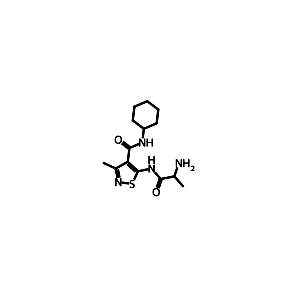 Cc1nsc(NC(=O)C(C)N)c1C(=O)NC1CCCCC1